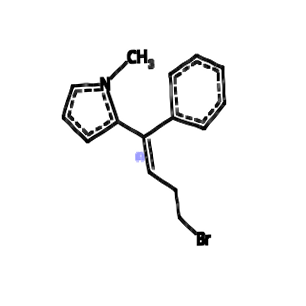 Cn1cccc1/C(=C/CCBr)c1ccccc1